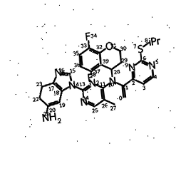 C=C(c1ccnc(SC(C)C)n1)N(c1nc(-n2cnc3c2C=C(N)CC3)ncc1C)C1CCOc2c(F)ccc(F)c21